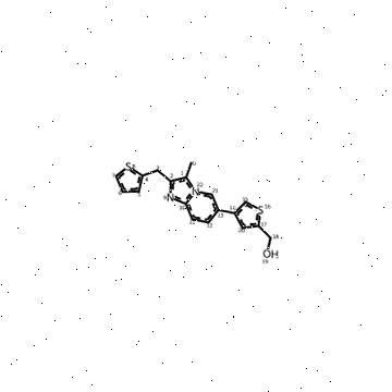 Cc1c(Cc2cccs2)nc2ccc(-c3csc(CO)c3)cn12